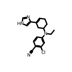 CCN(c1ccc(C#N)c(Cl)c1)C1CCC=C(c2c[nH]cn2)C1